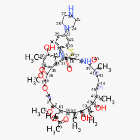 CO[C@H]1/C=C/O[C@@]2(C)Oc3c(C)c(O)c4c(=O)c(c5sc6cc(N7CCNCC7)ccc6nc-5c4c3C2=O)NC(=O)/C(C)=C\C=C\[C@H](C)[C@H](O)[C@@H](C)[C@@H](O)[C@@H](C)[C@H](OC(C)=O)[C@@H]1C